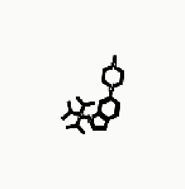 CC(C)[Si](C(C)C)(C(C)C)n1ccc2ccc(N3CCN(C)CC3)cc21